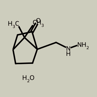 CC1(C)C2CCC1(CNN)C(=O)C2.O